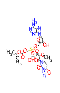 COC1[C@@H](OP(=O)(OC[C@H]2O[C@@H](n3cnc4c(N)ncnc43)C[C@H]2O)SCOC(=O)OC(C)C)C(CO)O[C@H]1n1ccc(=O)[nH]c1=O